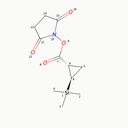 C[Si](C)(C)[C@@H]1C[C@H]1C(=O)ON1C(=O)CCC1=O